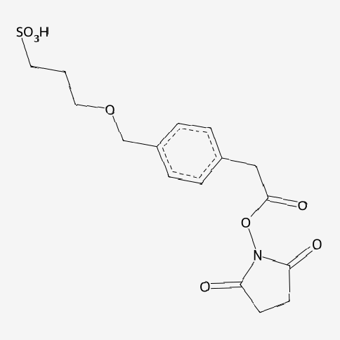 O=C(Cc1ccc(COCCCS(=O)(=O)O)cc1)ON1C(=O)CCC1=O